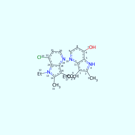 CCOC(=O)c1c(C)[nH]c2c(O)ccnc12.CCn1c(C)c(C(=O)O)c2nccc(Cl)c21